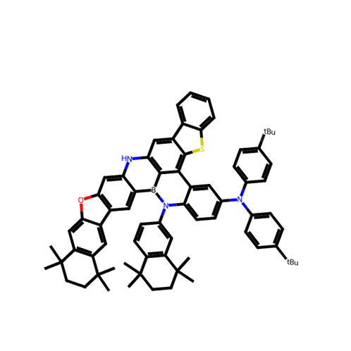 CC(C)(C)c1ccc(N(c2ccc(C(C)(C)C)cc2)c2ccc3c(c2)-c2c4c(cc5c2sc2ccccc25)Nc2cc5oc6cc7c(cc6c5cc2B4N3c2ccc3c(c2)C(C)(C)CCC3(C)C)C(C)(C)CCC7(C)C)cc1